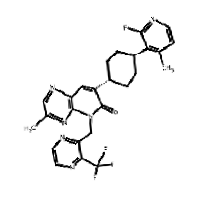 Cc1cnc2cc([C@H]3CC[C@H](c4c(C)ccnc4F)CC3)c(=O)n(Cc3nccnc3C(F)(F)F)c2n1